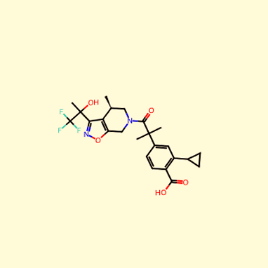 C[C@H]1CN(C(=O)C(C)(C)c2ccc(C(=O)O)c(C3CC3)c2)Cc2onc(C(C)(O)C(F)(F)F)c21